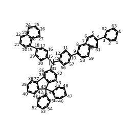 c1ccc(-c2ccc3cc(-c4ccc(N(c5ccc(-c6cccc7ccccc67)cc5)c5ccc6c(c5)-c5ccccc5C6(c5ccccc5)c5ccccc5)cc4)ccc3c2)cc1